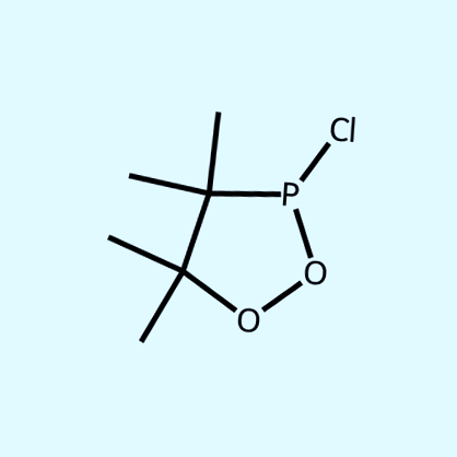 CC1(C)OOP(Cl)C1(C)C